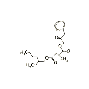 C=C(CC(=O)OCC(CC)CCCC)C(=O)OCC(=O)Cc1ccccc1